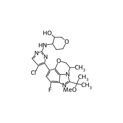 COC(C)(C)c1nc2c(F)cc(-c3nc(NC4CCOCC4O)ncc3Cl)c3c2n1C(C)CO3